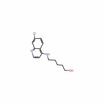 OCCCCCNc1ccnc2cc(Cl)ccc12